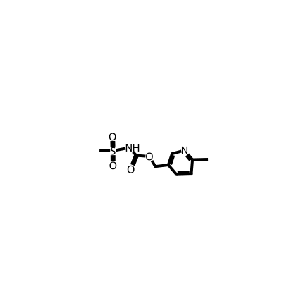 Cc1ccc(COC(=O)NS(C)(=O)=O)cn1